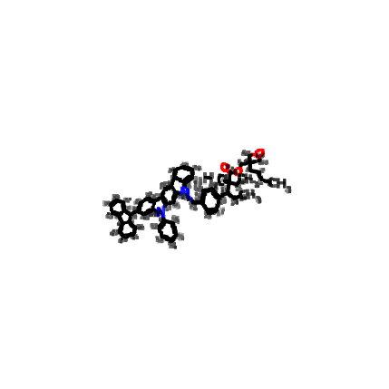 CCCCC1(COC(=O)C(C)(CC)C(CC)c2ccc(Cn3c4ccccc4c4cc5c6ccc(C7c8ccccc8-c8ccccc87)cc6n(-c6ccccc6)c5cc43)cc2)COC1